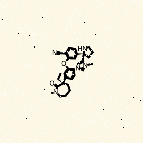 CC[C@@]1(c2cccc(Oc3cc([C@]4(c5cncn5C)CCCN4)ccc3C#N)c2)CCCCN(C)C1=O